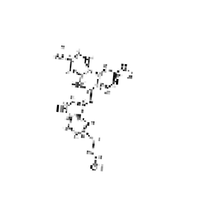 COc1cncc(NC([CH]c2c[nH]c3ccc(CCCO)cc23)c2cnc(OC)cn2)c1